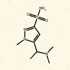 CC(c1cc(S(N)(=O)=O)nn1C)N(C)C